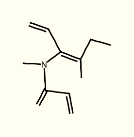 C=CC(=C)N(C)/C(C=C)=C(\C)CC